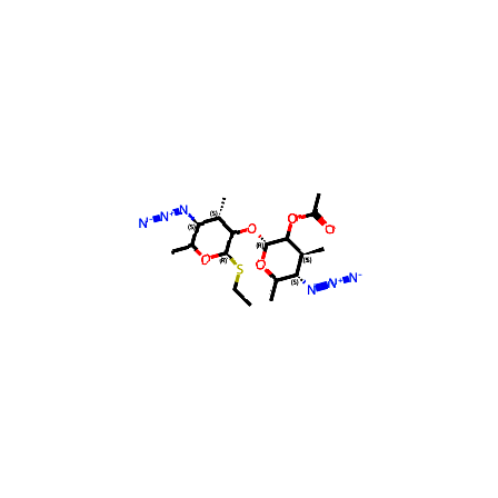 CCS[C@H]1OC(C)[C@@H](N=[N+]=[N-])[C@H](C)C1O[C@H]1OC(C)[C@@H](N=[N+]=[N-])[C@H](C)C1OC(C)=O